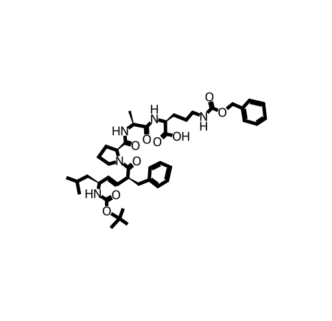 CC(C)C[C@@H](/C=C/[C@H](Cc1ccccc1)C(=O)N1CCC[C@H]1C(=O)N[C@@H](C)C(=O)N[C@@H](CCCNC(=O)OCc1ccccc1)C(=O)O)NC(=O)OC(C)(C)C